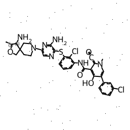 C[C@@H]1OCC2(CCN(c3cnc(Sc4cccc(NC(=O)C5=C(O)C(c6cccc(Cl)c6)=CN(C)C5=C=O)c4Cl)c(N)n3)CC2)[C@@H]1N